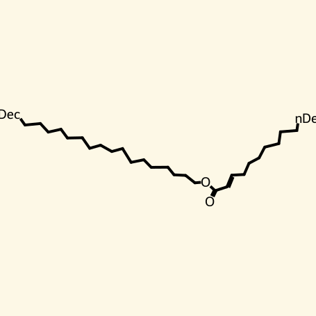 CCCCCCCCCCCCCCCCCC=CC(=O)OCCCCCCCCCCCCCCCCCCCCCCCCCCC